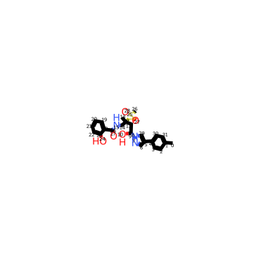 Cc1ccc(-c2cnn(C(O)CC(C)(CNC(=O)c3ccccc3O)S(C)(=O)=O)c2)cc1